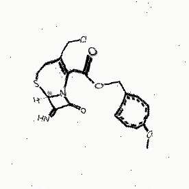 COc1ccc(COC(=O)C2=C(CCl)CS[C@@H]3C(=N)C(=O)N23)cc1